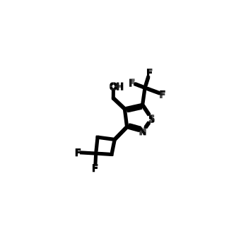 OCc1c(C2CC(F)(F)C2)nsc1C(F)(F)F